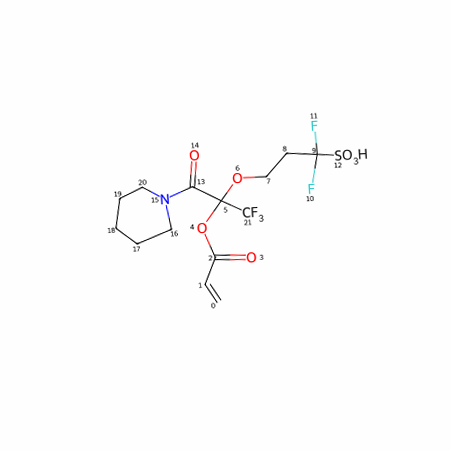 C=CC(=O)OC(OCCC(F)(F)S(=O)(=O)O)(C(=O)N1CCCCC1)C(F)(F)F